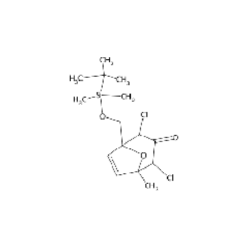 CC12C=CC(CO[Si](C)(C)C(C)(C)C)(O1)C(Cl)C(=O)C2Cl